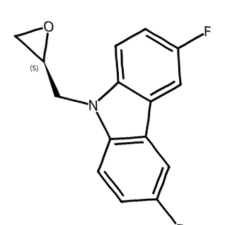 Fc1ccc2c(c1)c1cc(F)ccc1n2C[C@H]1CO1